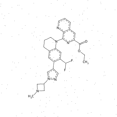 CCOC(=O)c1cc2cccnc2c(N2CCCc3cc(-c4cnn(C5CN(C)C5)c4)c(C(F)F)cc32)n1